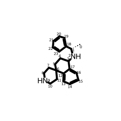 C[C@H](NC1CCC2(CCNCC2)c2ccccc21)c1ccccc1